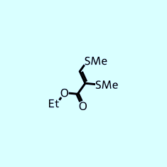 CCOC(=O)C(=CSC)SC